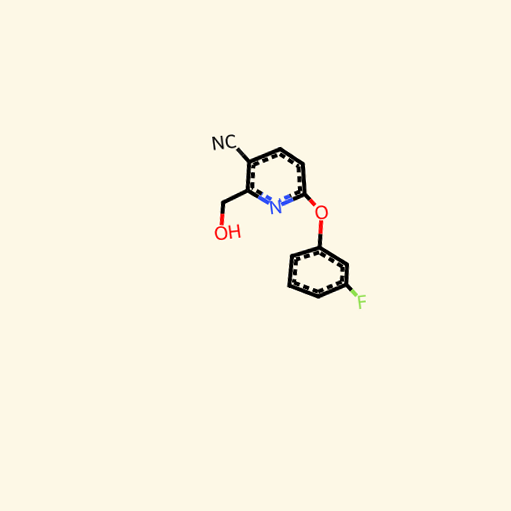 N#Cc1ccc(Oc2cccc(F)c2)nc1CO